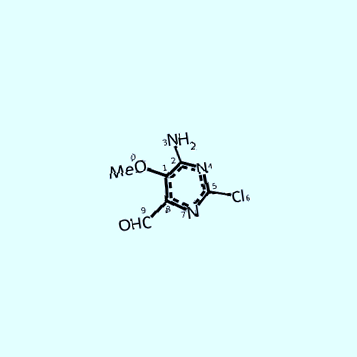 COc1c(N)nc(Cl)nc1C=O